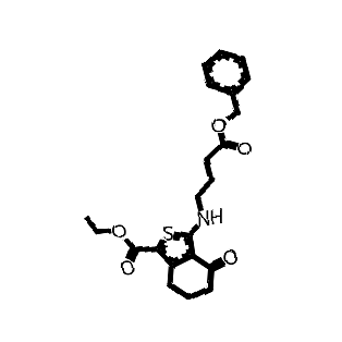 CCOC(=O)c1sc(NCCCC(=O)OCc2ccccc2)c2c1CCCC2=O